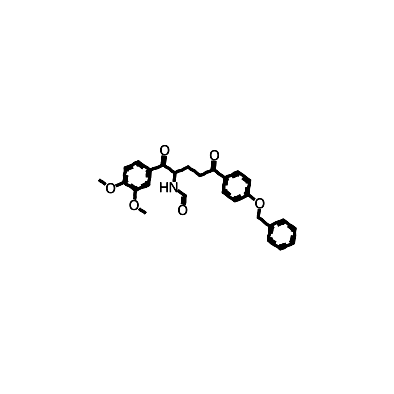 COc1ccc(C(=O)C(CCC(=O)c2ccc(OCc3ccccc3)cc2)NC=O)cc1OC